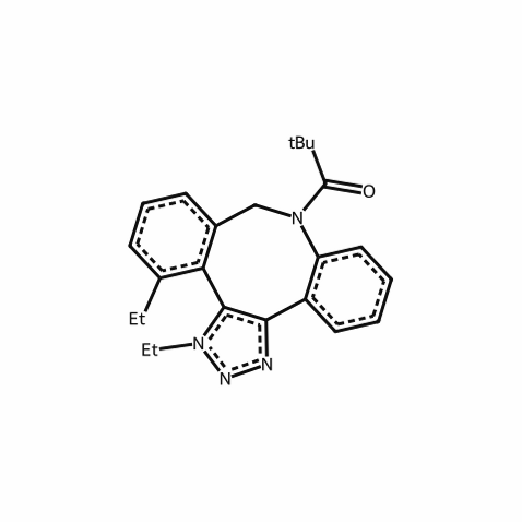 CCc1cccc2c1-c1c(nnn1CC)-c1ccccc1N(C(=O)C(C)(C)C)C2